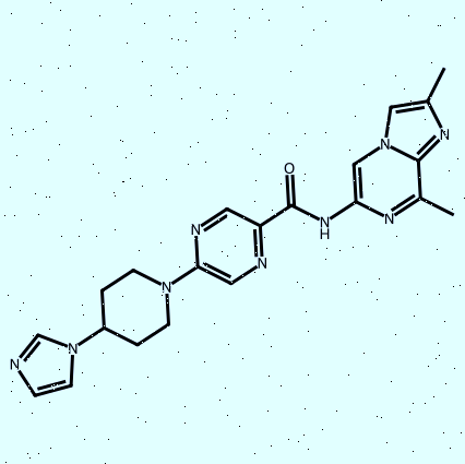 Cc1cn2cc(NC(=O)c3cnc(N4CCC(n5ccnc5)CC4)cn3)nc(C)c2n1